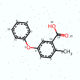 Cc1ccc(Oc2ccccc2)cc1C(=O)O